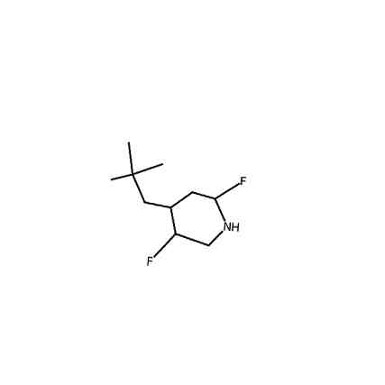 CC(C)(C)CC1CC(F)NCC1F